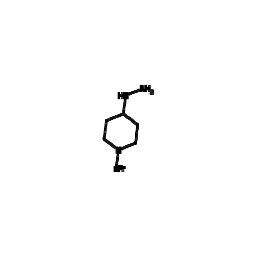 CCCN1CCC(NN)CC1